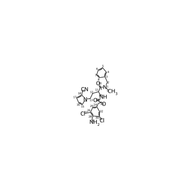 CN(Cc1ccccc1)C(=O)C(CCn1cccc1C#N)NS(=O)(=O)c1cc(Cl)c(N)c(Cl)c1